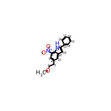 COCCc1cc([N+](=O)[O-])c2[nH]c(-c3ccccc3)cc2c1